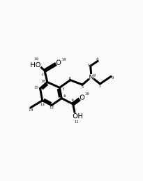 CCN(CC)CCc1c(C(=O)O)cc(C)cc1C(=O)O